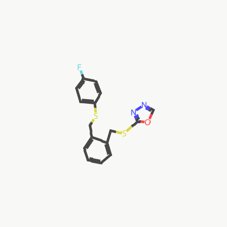 Fc1ccc(SCc2ccccc2CSc2nnco2)cc1